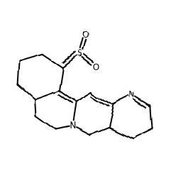 O=S(=O)=C1CCCC2CCN3CC4CCC=NC4=CC3=C12